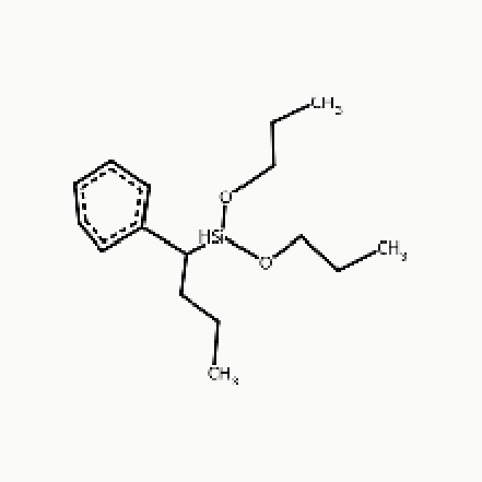 CCCO[SiH](OCCC)C(CCC)c1ccccc1